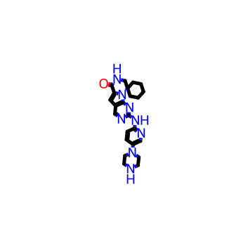 O=C1NCC2(CCCCC2)n2c1cc1cnc(Nc3ccc(N4CCNCC4)cn3)nc12